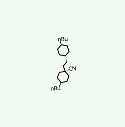 CCCC[C@H]1CC[C@H](CC[C@]2(C#N)CC[C@H](CCCC)CC2)CC1